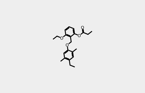 CCOc1cccc(OC(=O)CC)c1COc1cc(C)c(CC)cc1C